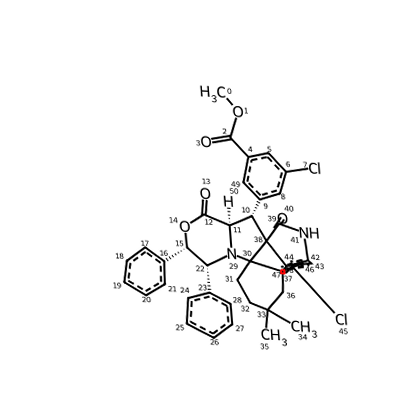 COC(=O)c1cc(Cl)cc([C@H]2[C@@H]3C(=O)O[C@@H](c4ccccc4)[C@@H](c4ccccc4)N3C3(CCC(C)(C)CC3)C23C(=O)Nc2cc(Cl)ccc23)c1